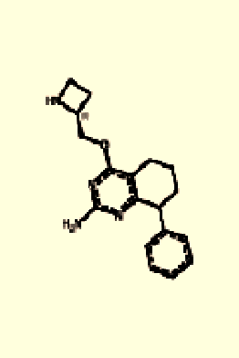 Nc1nc(OC[C@@H]2CCN2)c2c(n1)C(c1ccccc1)CCC2